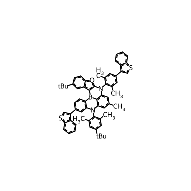 Cc1cc2c3c(c1)N(c1c(C)cc(-c4csc5ccccc45)cc1C)c1oc4ccc(C(C)(C)C)cc4c1B3c1ccc(-c3csc4ccccc34)cc1N2c1c(C)cc(C(C)(C)C)cc1C